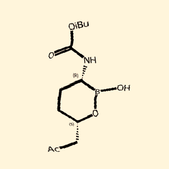 CC(=O)C[C@@H]1CC[C@H](NC(=O)OCC(C)C)B(O)O1